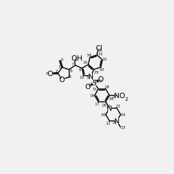 C=C1C(=O)OCC1C(O)c1cn(S(=O)(=O)c2ccc(N3CCN(C)CC3)c([N+](=O)[O-])c2)c2ccc(Cl)cc12